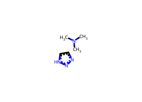 CN(C)C.c1c[nH]nn1